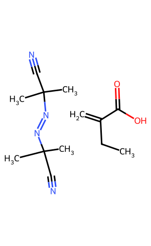 C=C(CC)C(=O)O.CC(C)(C#N)N=NC(C)(C)C#N